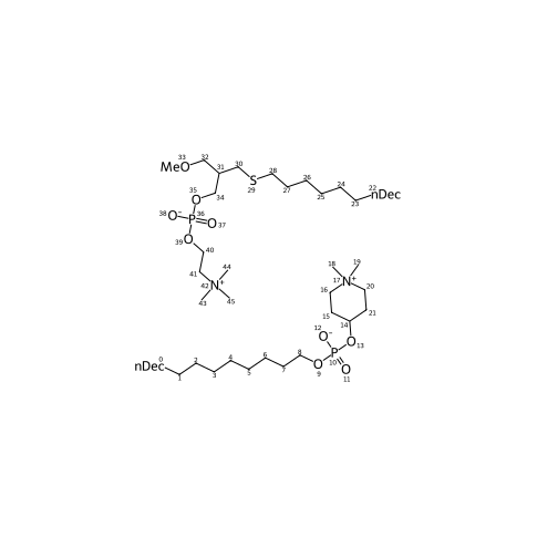 CCCCCCCCCCCCCCCCCCOP(=O)([O-])OC1CC[N+](C)(C)CC1.CCCCCCCCCCCCCCCCSCC(COC)COP(=O)([O-])OCC[N+](C)(C)C